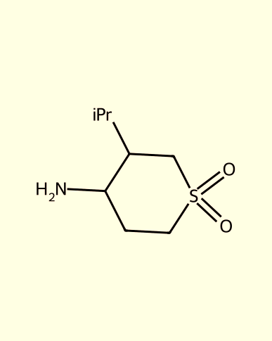 CC(C)C1CS(=O)(=O)CCC1N